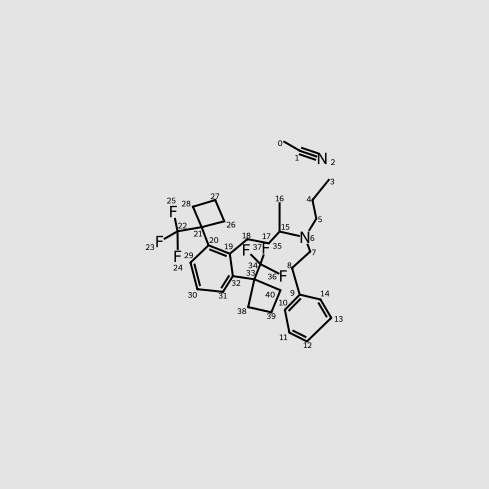 CC#N.CCCN(CCc1ccccc1)C(C)CCc1c(C2(C(F)(F)F)CCC2)cccc1C1(C(F)(F)F)CCC1